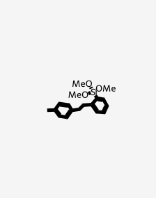 CO[Si](OC)(OC)c1ccccc1CCc1ccc(C)cc1